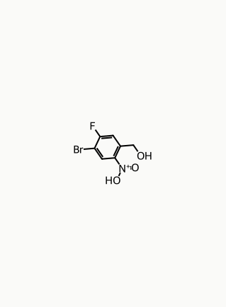 O=[N+](O)c1cc(Br)c(F)cc1CO